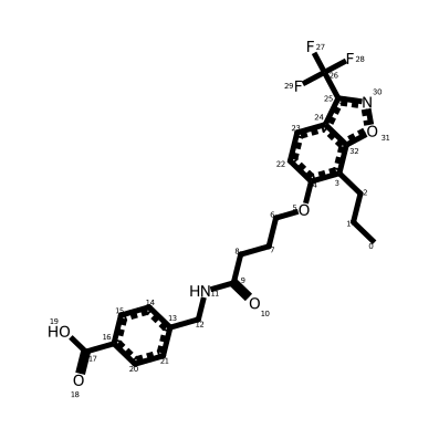 CCCc1c(OCCCC(=O)NCc2ccc(C(=O)O)cc2)ccc2c(C(F)(F)F)noc12